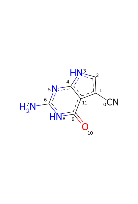 N#Cc1c[nH]c2nc(N)[nH]c(=O)c12